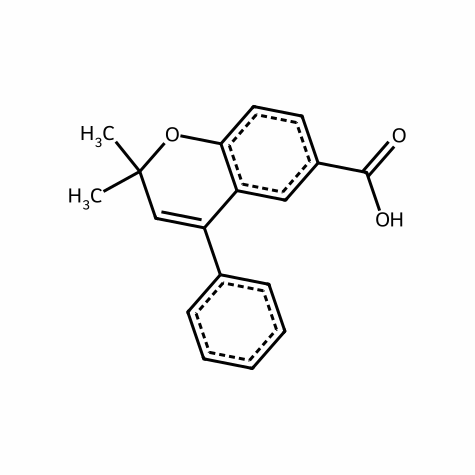 CC1(C)C=C(c2ccccc2)c2cc(C(=O)O)ccc2O1